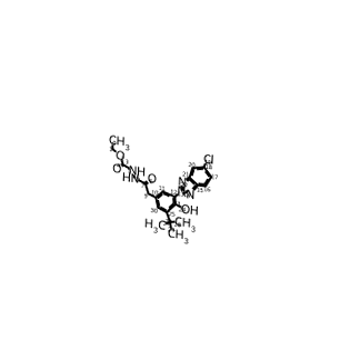 CCOC(=O)NNC(=O)Cc1cc(-n2nc3ccc(Cl)cc3n2)c(O)c(C(C)(C)C)c1